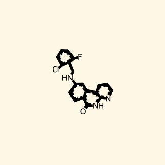 O=c1[nH]c2ncccc2c2cc(NCc3c(F)cccc3Cl)ccc12